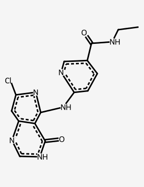 CCNC(=O)c1ccc(Nc2nc(Cl)cc3nc[nH]c(=O)c23)nc1